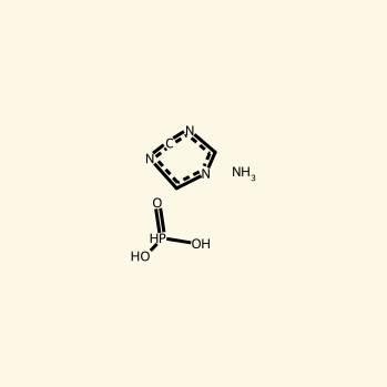 N.O=[PH](O)O.c1ncncn1